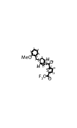 COc1ccccc1CN1C[C@@H]2C[C@H]1CN2C(=O)c1ccc(C(=O)C(F)(F)F)s1